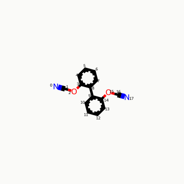 N#COc1ccccc1-c1ccccc1OC#N